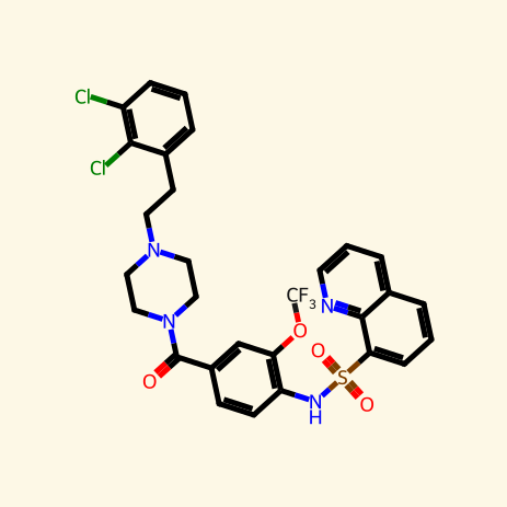 O=C(c1ccc(NS(=O)(=O)c2cccc3cccnc23)c(OC(F)(F)F)c1)N1CCN(CCc2cccc(Cl)c2Cl)CC1